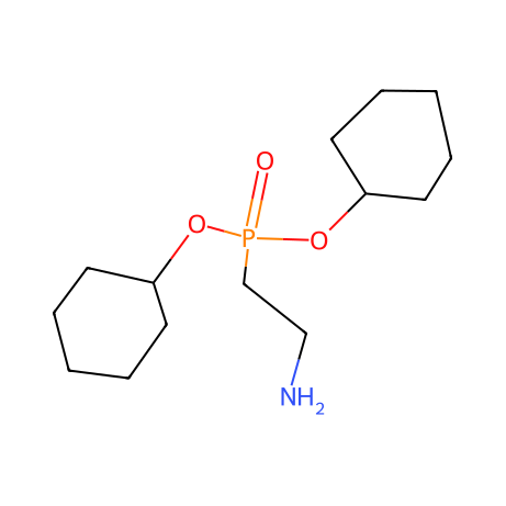 NCCP(=O)(OC1CCCCC1)OC1CCCCC1